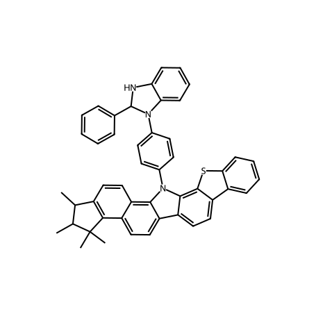 CC1c2ccc3c(ccc4c5ccc6c7ccccc7sc6c5n(-c5ccc(N6c7ccccc7NC6c6ccccc6)cc5)c34)c2C(C)(C)C1C